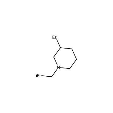 [CH2]CC1CCCN(CC(C)C)C1